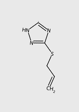 C=CCSc1n[c][nH]n1